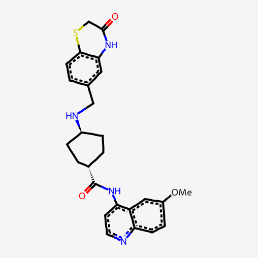 COc1ccc2nccc(NC(=O)[C@H]3CC[C@H](NCc4ccc5c(c4)NC(=O)CS5)CC3)c2c1